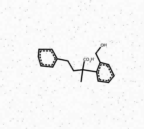 CC(CCc1ccccc1)(C(=O)O)c1ccccc1CO